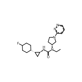 CCN(C(=O)N[C@H]1C[C@@H]1C1CCC(F)CC1)[C@H]1CCN(c2cccnn2)C1